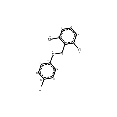 Clc1cccc(Cl)c1COc1ccc(I)cc1